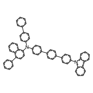 c1ccc(-c2ccc(N(c3ccc(-c4ccc(-c5ccc(-n6c7ccccc7c7ccccc76)cc5)cc4)cc3)c3ccc(-c4ccccc4)c4ccccc34)cc2)cc1